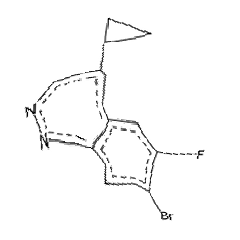 Fc1cc2c(C3CC3)cnnc2cc1Br